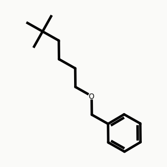 CC(C)(C)CCCCOCc1ccccc1